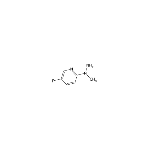 CN(N)c1ccc(F)cn1